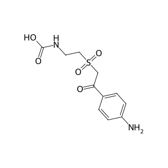 Nc1ccc(C(=O)CS(=O)(=O)CCNC(=O)O)cc1